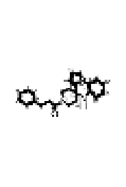 O=C(CCc1ccccc1)N1CCC2(CC1)Nc1ccccc1-n1cccc12